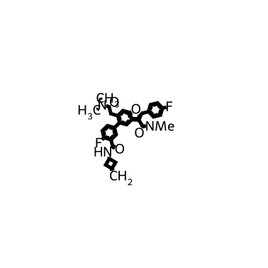 C=C1CC(NC(=O)c2cc(-c3cc4c(C(=O)NC)c(-c5ccc(F)cc5)oc4cc3CC(=O)N(C)C)ccc2F)C1